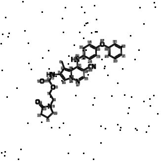 Cc1c(NC(=O)OCCN2CCCC2=O)cn2ncc(C#N)c(Nc3ccc(Oc4ccccc4)cc3)c12